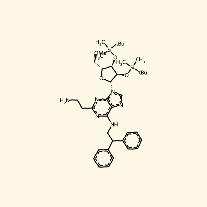 COC[C@H]1O[C@@H](n2cnc3c(NCC(c4ccccc4)c4ccccc4)nc(CCN)nc32)[C@H](O[Si](C)(C)C(C)(C)C)[C@@H]1O[Si](C)(C)C(C)(C)C